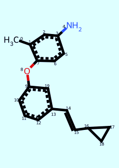 Cc1cc(N)ccc1Oc1cccc(C=CC2CC2)c1